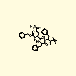 CC1(C(=O)C(Cc2ccccc2)NC(=O)C(Cc2ccccc2)NC(=O)C(CCC(N)=O)NC(=O)OCc2ccccc2)CO1